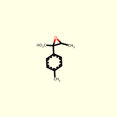 Cc1ccc(C2(C(=O)O)OC2C)cc1